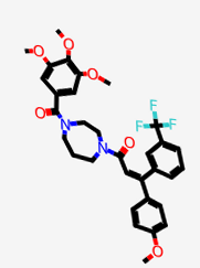 COc1ccc(/C(=C/C(=O)N2CCCN(C(=O)c3cc(OC)c(OC)c(OC)c3)CC2)c2cccc(C(F)(F)F)c2)cc1